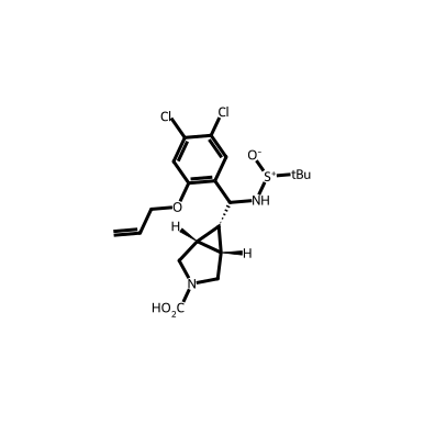 C=CCOc1cc(Cl)c(Cl)cc1C(N[S+]([O-])C(C)(C)C)[C@@H]1[C@@H]2CN(C(=O)O)C[C@@H]21